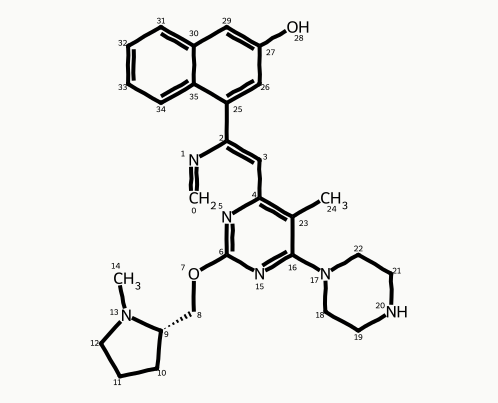 C=N/C(=C\c1nc(OC[C@@H]2CCCN2C)nc(N2CCNCC2)c1C)c1cc(O)cc2ccccc12